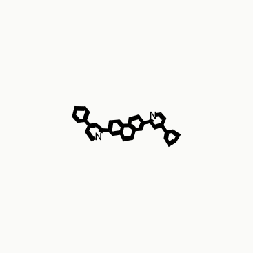 c1ccc(-c2ccnc(-c3ccc4c(ccc5cc(-c6cc(-c7ccccc7)ccn6)ccc54)c3)c2)cc1